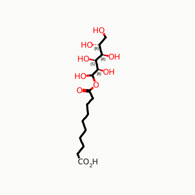 O=C(O)CCCCCCCCC(=O)OC(O)[C@H](O)[C@@H](O)[C@H](O)[C@H](O)CO